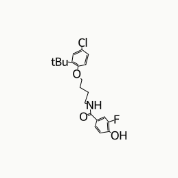 CC(C)(C)c1cc(Cl)ccc1OCCCCNC(=O)c1ccc(O)c(F)c1